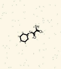 O=C(S)C(=O)SC1CCCCC1